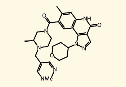 C/N=C\C(=C/NC)CN1CCN(C(=O)c2cc3c(cc2C)[nH]c(=O)c2cnn(C4CCOCC4)c23)C[C@@H]1C